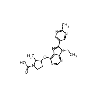 CCn1c(-c2cnc(C)nc2)nc2c(OC3CCN(C(=O)O)C3C)ncnc21